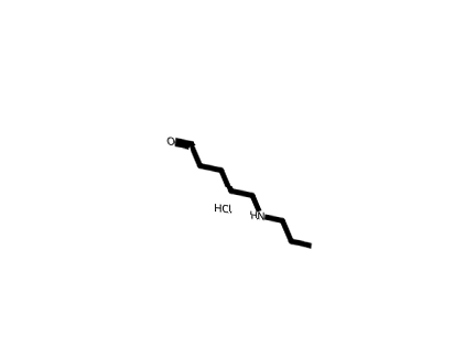 CCCNCCCCC=O.Cl